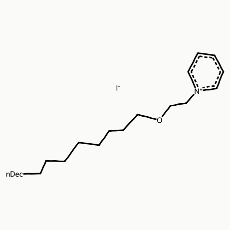 CCCCCCCCCCCCCCCCCCOCC[n+]1ccccc1.[I-]